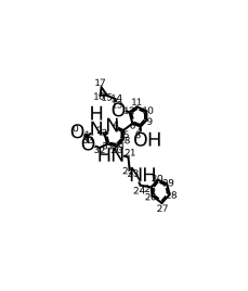 O=C1Nc2nc(-c3c(O)cccc3OCC3CC3)cc(NCCNCc3ccccc3)c2CO1